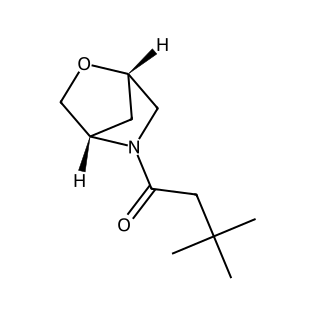 CC(C)(C)CC(=O)N1C[C@@H]2C[C@H]1CO2